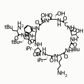 CC[C@H](C)[C@@H]1NC(=O)[C@@H](CCCCN)NC(=O)[C@H](CC(C)C)NC(=O)[C@H]([C@H](O)C(C)C)NC(=O)[C@@H](NC(=O)[C@H](CC(C)(C)C)NC(=O)[C@H](N)CC(C)(C)C)[C@@H](c2ccccc2)NC(=O)C(CO)NC(=O)[C@H](CO)NC(=O)CNC(=O)[C@H]([C@H](C)O)NC1=O